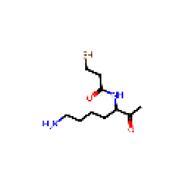 CC(=O)C(CCCCN)NC(=O)CCS